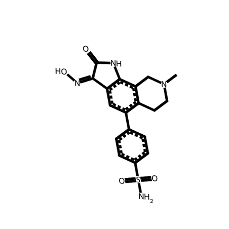 CN1CCc2c(-c3ccc(S(N)(=O)=O)cc3)cc3c(c2C1)NC(=O)/C3=N\O